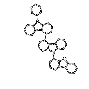 c1ccc(-n2c3ccccc3c3c(-c4cccc5c4c4ccccc4n5-c4cccc5c4oc4ccccc45)cccc32)cc1